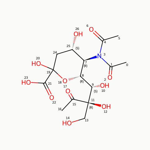 CC(=O)N(C(C)=O)[C@H]1[C@H]([C@H](O)[C@](O)(CO)C(C)=O)OC(O)(C(=O)O)C[C@@H]1O